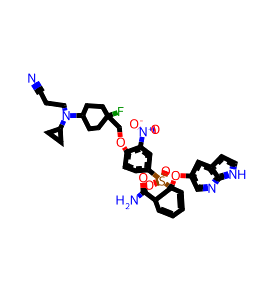 N#CCCN(C1CC1)C1CCC(F)(COc2ccc(S(=O)(=O)C3(Oc4cnc5[nH]ccc5c4)C=CC=CC3C(N)=O)cc2[N+](=O)[O-])CC1